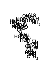 CNC(=O)OC[C@@H]1[C@@H](COP(=O)(O)OP(=O)(O)OP(=O)(O)OC[C@H]2O[C@@H](n3cnc4c(=O)[nH]c(N)nc43)[C@H](OC)[C@@H]2OP(=O)(O)OC[C@H]2O[C@@H](n3cnc4c(=O)[nH]c(N)nc43)[C@H](O)[C@@H]2O)OC(n2c[n+](C)c3c(=O)[nH]c(N)nc32)[C@@H]1O